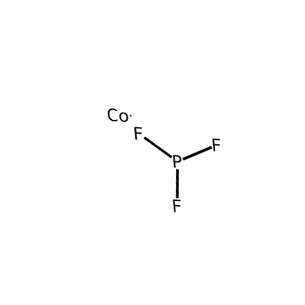 FP(F)F.[Co]